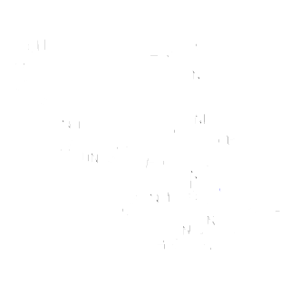 CCN(CC)CCNC(=O)c1c(C)[nH]c(/C=C2\C(=O)N(C(=O)N(C)CCNC(=O)CCC(=O)NCC(=O)NCc3ccc(OC)cc3)c3ccc(F)cc32)c1C